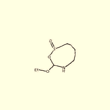 CCOC1NCCCS(=O)O1